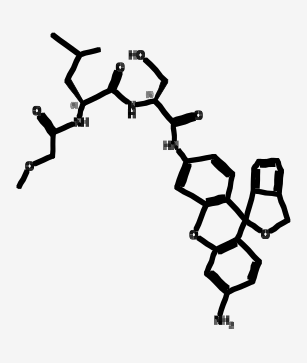 COCC(=O)N[C@@H](CC(C)C)C(=O)N[C@@H](CO)C(=O)Nc1ccc2c(c1)Oc1cc(N)ccc1C21OCc2ccccc21